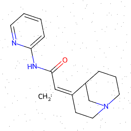 O=C(C=C1CCN2CCCC1C2)Nc1ccccn1.[CH2]